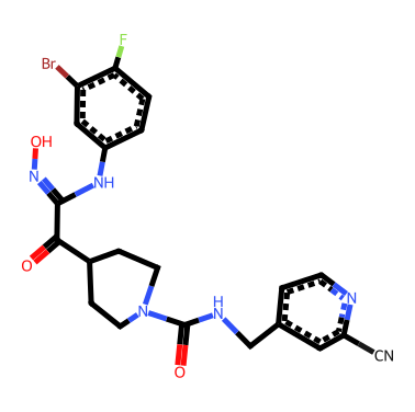 N#Cc1cc(CNC(=O)N2CCC(C(=O)/C(=N/O)Nc3ccc(F)c(Br)c3)CC2)ccn1